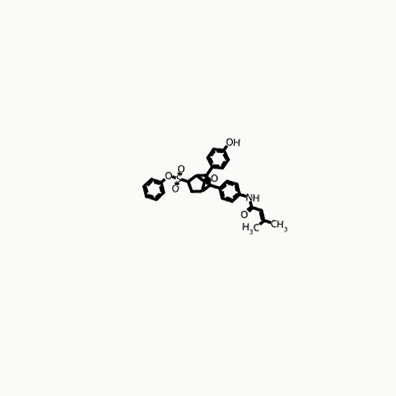 CC(C)=CC(=O)Nc1ccc(C2=C(c3ccc(O)cc3)C3C(=O)C2CC3S(=O)(=O)Oc2ccccc2)cc1